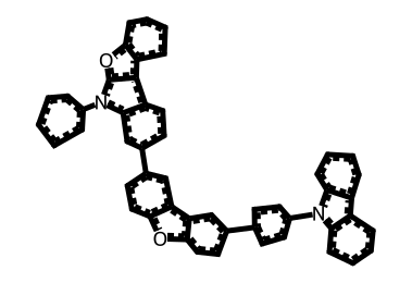 c1ccc(-n2c3cc(-c4ccc5oc6ccc(-c7ccc(-n8c9ccccc9c9ccccc98)cc7)cc6c5c4)ccc3c3c4ccccc4oc32)cc1